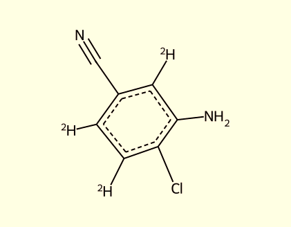 [2H]c1c([2H])c(C#N)c([2H])c(N)c1Cl